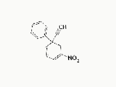 C#CC1(c2ccccc2)C=CC=C([N+](=O)[O-])C1